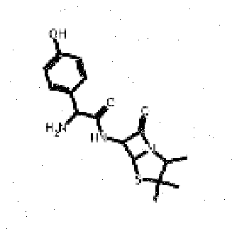 CC1N2C(=O)C(NC(=O)C(N)c3ccc(O)cc3)C2SC1(C)C